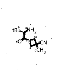 CC1(C#N)CN(C(=O)[C@H](N)C(C)(C)C)C1